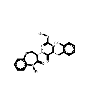 CC(C)N1C(=O)[C@@H](NC(=O)[C@@H](Cc2ccccc2C(F)(F)F)NC(=O)OC(C)(C)C)CSc2ccccc21